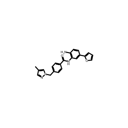 Cc1cnn(Cc2ccc(C(=O)Nc3cc(-c4ccco4)ccc3N)cc2)c1